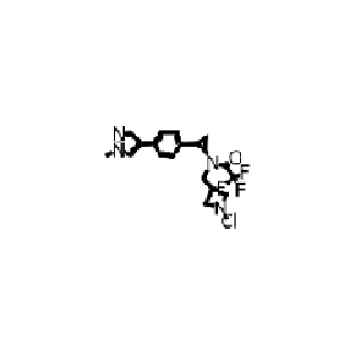 Cn1cc(-c2ccc(C3CC3N(CC3CN(Cl)C3)C(=O)C(F)(F)F)cc2)cn1